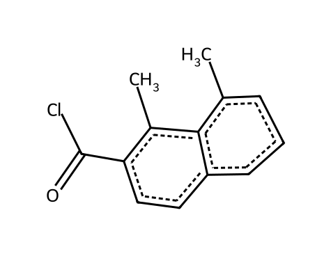 Cc1cccc2ccc(C(=O)Cl)c(C)c12